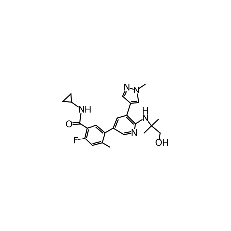 Cc1cc(F)c(C(=O)NC2CC2)cc1-c1cnc(NC(C)(C)CO)c(-c2cnn(C)c2)c1